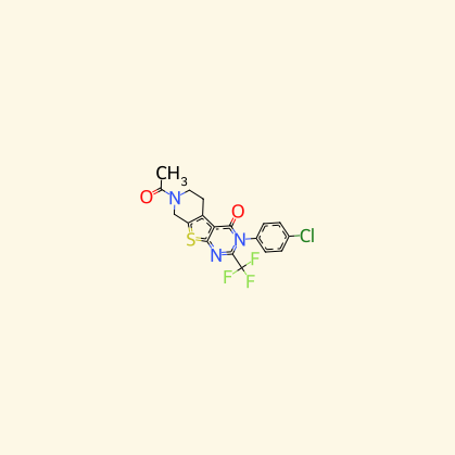 CC(=O)N1CCc2c(sc3nc(C(F)(F)F)n(-c4ccc(Cl)cc4)c(=O)c23)C1